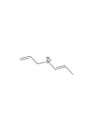 C=CC[SiH2]C=CC